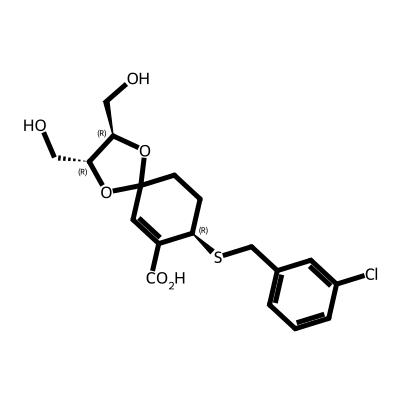 O=C(O)C1=CC2(CC[C@H]1SCc1cccc(Cl)c1)O[C@H](CO)[C@@H](CO)O2